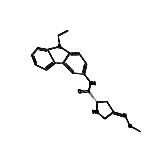 CCn1c2ccccc2c2cc(NC(=O)[C@@H]3CC(=NOC)CN3)ccc21